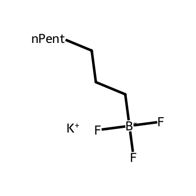 CCCCCCCC[B-](F)(F)F.[K+]